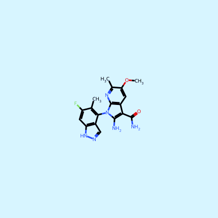 COc1cc2c(C(N)=O)c(N)n(-c3c(C)c(F)cc4[nH]ncc34)c2nc1C